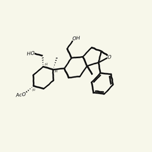 CC(=O)O[C@H]1CC[C@](C)(C2CCC3(C)C(CC4OC43c3ccccc3)C2CO)[C@@H](CO)C1